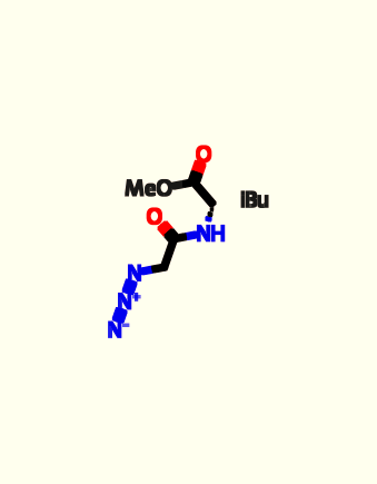 CC[C@H](C)[C@H](NC(=O)CN=[N+]=[N-])C(=O)OC